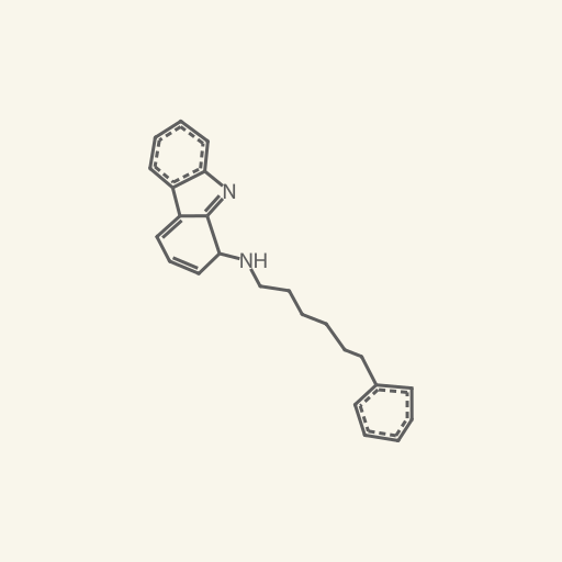 C1=CC(NCCCCCCc2ccccc2)C2=Nc3ccccc3C2=C1